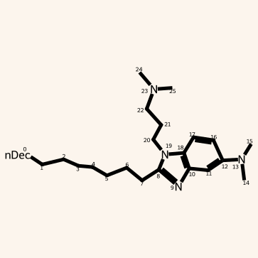 CCCCCCCCCCCCCCCCCc1nc2cc(N(C)C)ccc2n1CCCN(C)C